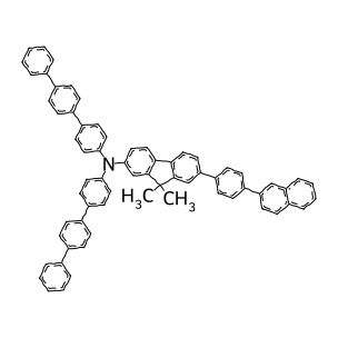 CC1(C)c2cc(-c3ccc(-c4ccc5ccccc5c4)cc3)ccc2-c2ccc(N(c3ccc(-c4ccc(-c5ccccc5)cc4)cc3)c3ccc(-c4ccc(-c5ccccc5)cc4)cc3)cc21